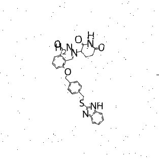 NN(Cc1c(C=O)cccc1OCc1ccc(CSc2nc3ccccc3[nH]2)cc1)C1CCC(=O)NC1=O